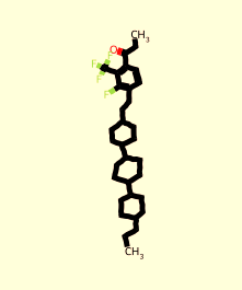 CCCC1CCC(C2CCC(C3CCC(CCc4ccc(C(=O)CC)c(C(F)(F)F)c4F)CC3)CC2)CC1